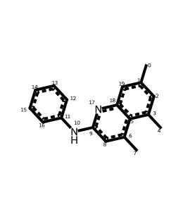 Cc1cc(C)c2c(C)cc(Nc3ccccc3)nc2c1